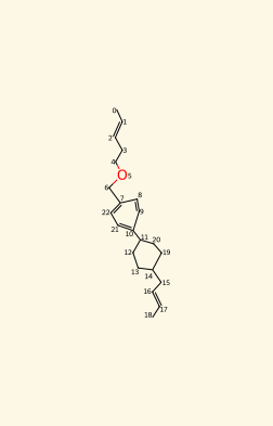 CC=CCCOCc1ccc(C2CCC(CC=CC)CC2)cc1